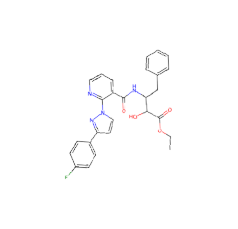 CCOC(=O)C(O)C(Cc1ccccc1)NC(=O)c1cccnc1-n1ccc(-c2ccc(F)cc2)n1